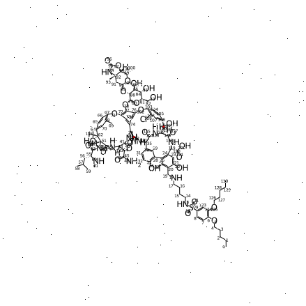 CCCCCOc1ccc(S(=O)(=O)NCCCCNCc2c(O)cc3c(c2C)-c2cc(ccc2O)[C@H]2NC(=O)[C@@H]4NC(=O)[C@H](CC(N)=O)NC(=O)[C@H](NC(=O)[C@@H](CC(C)C)NC)[C@H](O)c5ccc(c(C)c5)Oc5cc4cc(c5O[C@@H]4O[C@H](CO)[C@@H](O)[C@H](O)[C@H]4O[C@H]4C[C@]5(C)NC(=O)O[C@@H]5[C@H](C)O4)Oc4ccc(cc4Cl)[C@@H](O)[C@H](NC2=O)C(=O)N[C@@H]3C(=O)O)cc1OCCCCC